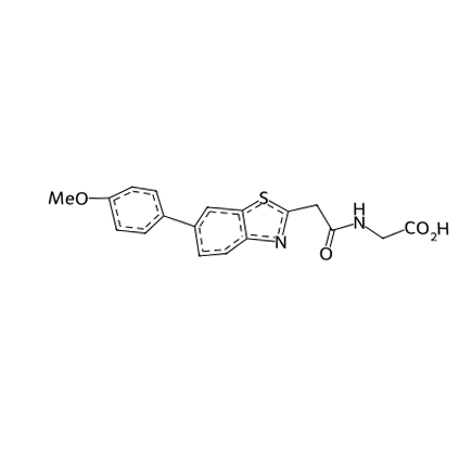 COc1ccc(-c2ccc3nc(CC(=O)NCC(=O)O)sc3c2)cc1